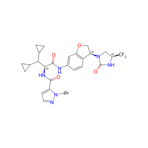 CC(C)n1nccc1C(=O)N[C@H](C(=O)Nc1ccc2c(c1)OC[C@H]2N1C[C@@H](C(F)(F)F)NC1=O)C(C1CC1)C1CC1